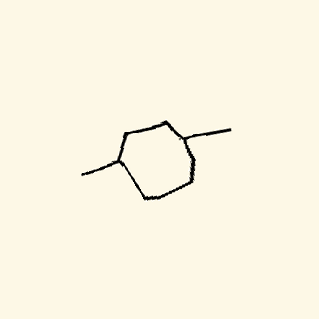 C[C]1CC[C](C)CC1